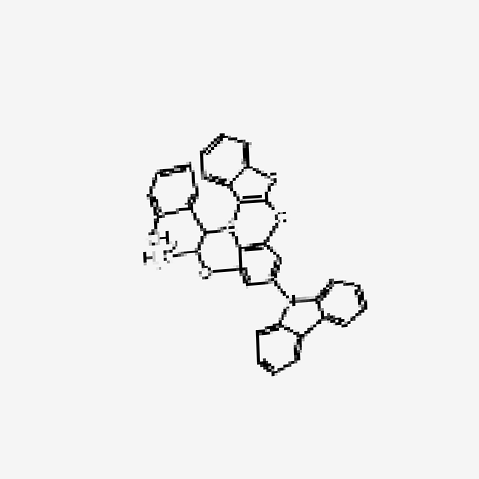 Cc1ccccc1C1B2c3c(cc(-n4c5ccccc5c5ccccc54)cc3OC1C)Oc1sc3ccccc3c12